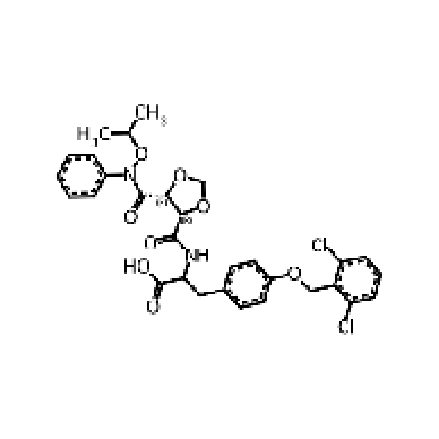 CC(C)ON(C(=O)[C@@H]1OCO[C@H]1C(=O)NC(Cc1ccc(OCc2c(Cl)cccc2Cl)cc1)C(=O)O)c1ccccc1